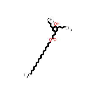 CCCCCCCCCCCCCCCCCCOC(=O)CCc1cc(CCCC)c(O)c(CCCC)c1